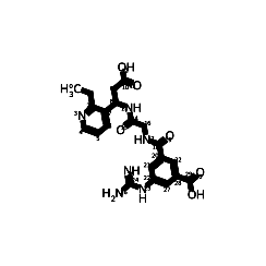 CCc1ncccc1C(CC(=O)O)NC(=O)CNC(=O)c1cc(NC(=N)N)cc(C(=O)O)c1